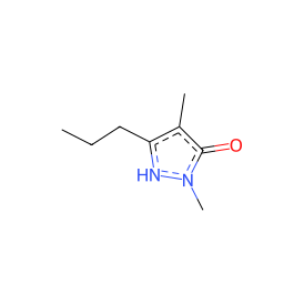 CCCc1[nH]n(C)c(=O)c1C